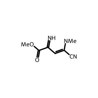 CN/C(C#N)=C\C(=N)C(=O)OC